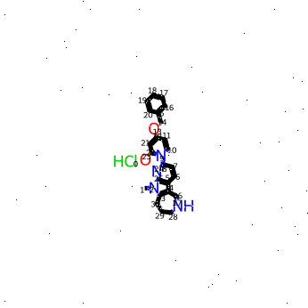 Cl.Cn1c2c(c3ccc(-n4ccc(OCc5ccccc5)cc4=O)nc31)CNCCC2